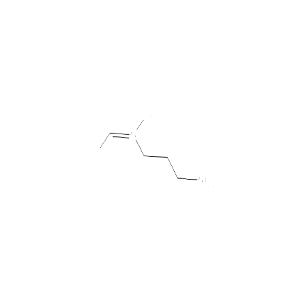 C/C=[N+](/CC)CCCN